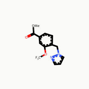 COC(=O)c1ccc(Cn2cccn2)c(OC(F)(F)F)c1